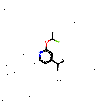 CC(F)Oc1cc(C(C)C)ccn1